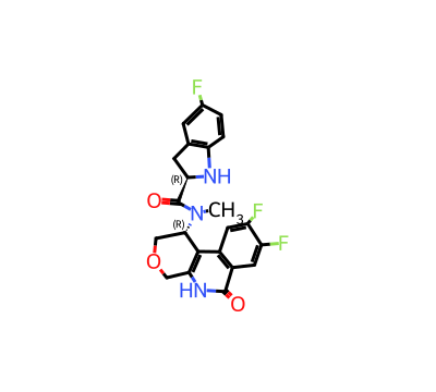 CN(C(=O)[C@H]1Cc2cc(F)ccc2N1)[C@H]1COCc2[nH]c(=O)c3cc(F)c(F)cc3c21